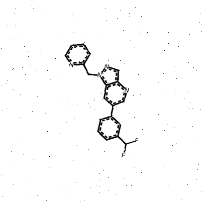 FC(F)c1cccc(-c2cnc3cnn(Cc4ccccn4)c3c2)c1